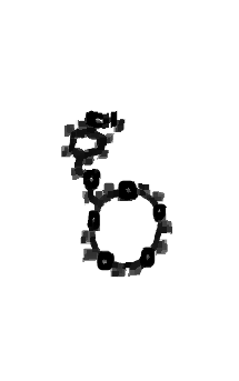 Cc1ccc(COCC2COCCOCCOCCOCCO2)cc1